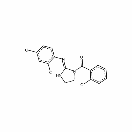 O=C(c1ccccc1Cl)N1CCNC1=Nc1ccc(Cl)cc1Cl